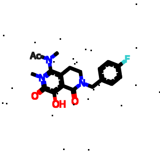 CC(=O)N(C)c1c2c(c(O)c(=O)n1C)C(=O)N(Cc1ccc(F)cc1)CC2